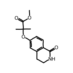 COC(=O)C(C)(C)Oc1ccc2c(c1)CCNC2=O